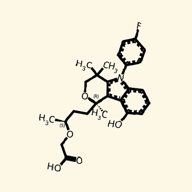 C[C@@H](CC[C@@]1(C)OCC(C)(C)c2c1c1c(O)cccc1n2-c1ccc(F)cc1)OCC(=O)O